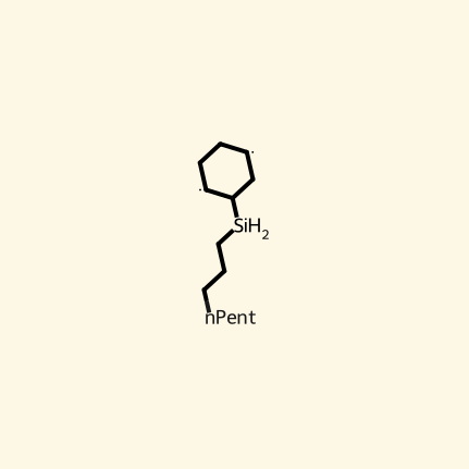 CCCCCCCC[SiH2]C1[CH]CC[CH]C1